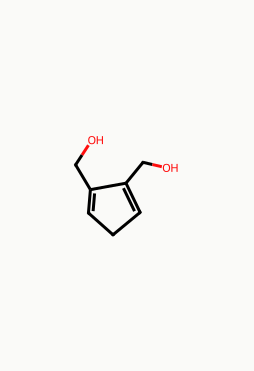 OCC1=CCC=C1CO